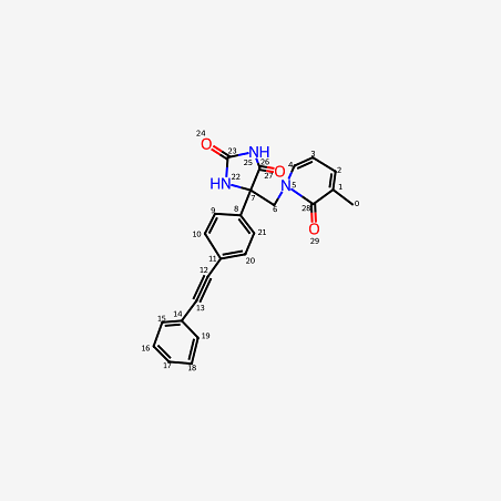 Cc1cccn(CC2(c3ccc(C#Cc4ccccc4)cc3)NC(=O)NC2=O)c1=O